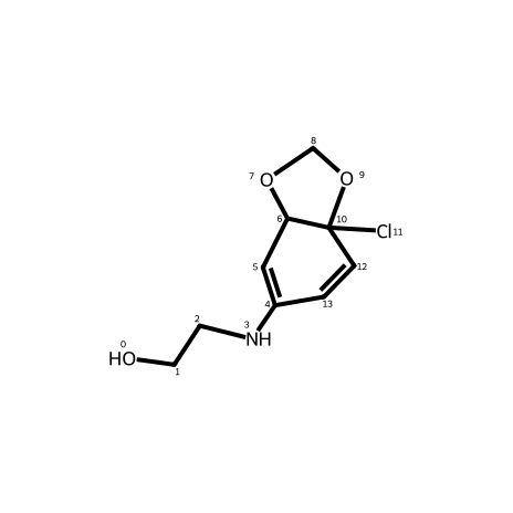 OCCNC1=CC2OCOC2(Cl)C=C1